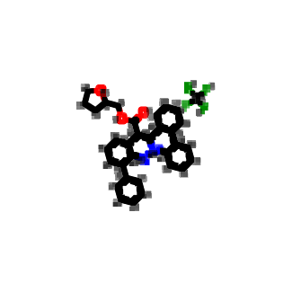 F[B-](F)(F)F.O=C(OCC1CCCO1)c1c2cccc(-c3ccccc3)c2n[n+]2c3ccccc3c3ccccc3c12